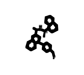 CC(N[C@H](C)c1cccc2ccccc12)c1cc(-c2ccc(CF)cc2)c2ccccc2c1